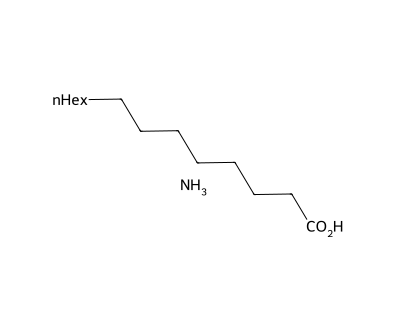 CCCCCCCCCCCCCC(=O)O.N